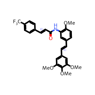 COc1ccc(/C=C/c2cc(OC)c(OC)c(OC)c2)cc1NC(=O)/C=C/c1ccc(C(F)(F)F)cc1